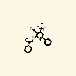 N#Cc1c(C(F)(F)F)cc(-c2ccccc2)nc1SCC(=O)N1CCCCC1